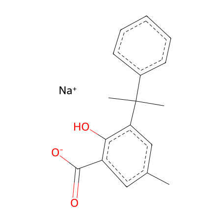 Cc1cc(C(=O)[O-])c(O)c(C(C)(C)c2ccccc2)c1.[Na+]